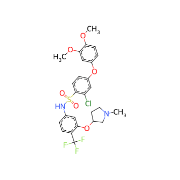 COc1ccc(Oc2ccc(S(=O)(=O)Nc3ccc(C(F)(F)F)c(OC4CCN(C)C4)c3)c(Cl)c2)cc1OC